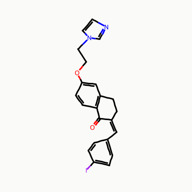 O=C1C(=Cc2ccc(I)cc2)CCc2cc(OCCn3ccnc3)ccc21